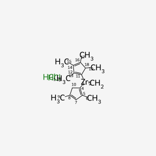 Cl.Cl.[CH2]=[Zr]([C]1=C(C)C=C(C)C1)[C]1=C(C)C(C)=C(C)C1C